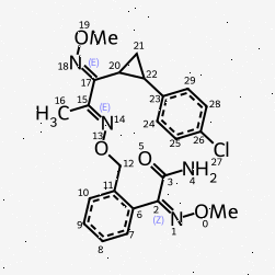 CO/N=C(\C(N)=O)c1ccccc1CO/N=C(C)/C(=N/OC)C1CC1c1ccc(Cl)cc1